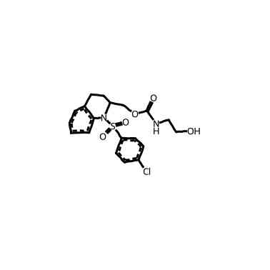 O=C(NCCO)OCC1CCc2ccccc2N1S(=O)(=O)c1ccc(Cl)cc1